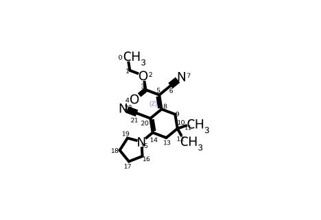 CCOC(=O)/C(C#N)=C1/CC(C)(C)CC(N2CCCC2)=C1C#N